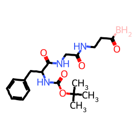 BC(=O)CCNC(=O)CNC(=O)C(Cc1ccccc1)NC(=O)OC(C)(C)C